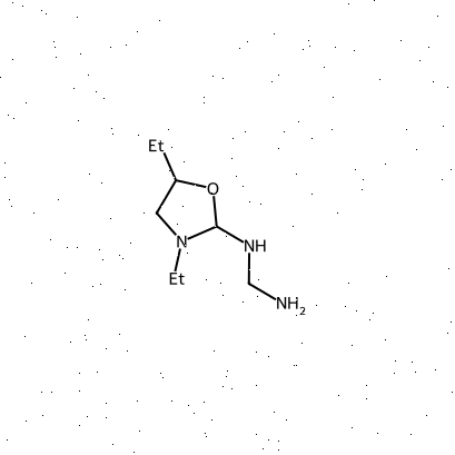 CCC1CN(CC)C(NCN)O1